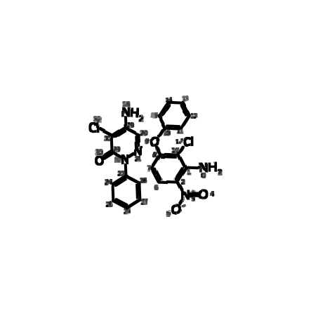 Nc1c([N+](=O)[O-])ccc(Oc2ccccc2)c1Cl.Nc1cnn(-c2ccccc2)c(=O)c1Cl